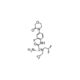 NC[C@H](C(=O)Nc1ccc(N2CCOCC2=O)cc1F)N(CC(F)F)CC1CC1